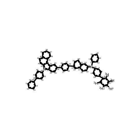 [2H]c1c([2H])c([2H])c(-c2ccc(N(c3ccccc3)c3ccc4cc(-c5ccc(-c6ccc7c(c6)c6c8ccccc8ccc6n7-c6ccc(-c7ccccc7)cc6)cc5)ccc4c3)cc2)c([2H])c1[2H]